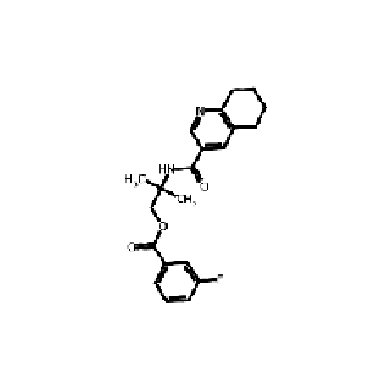 CC(C)(COC(=O)c1cccc(F)c1)NC(=O)c1cnc2c(c1)CCCC2